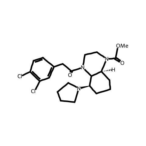 COC(=O)N1CCN(C(=O)Cc2ccc(Cl)c(Cl)c2)C2[C@H](N3CCCC3)CCC[C@@H]21